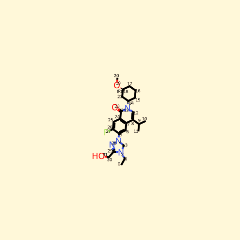 CCN1CN(c2cc3c(C(C)C)cn([C@H]4CCC[C@@H](OC)C4)c(=O)c3cc2F)N=C1CO